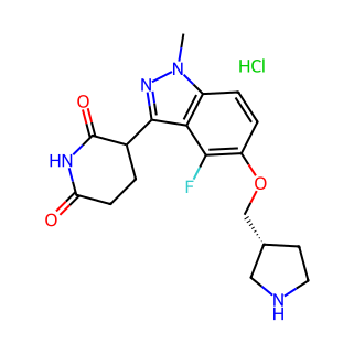 Cl.Cn1nc(C2CCC(=O)NC2=O)c2c(F)c(OC[C@@H]3CCNC3)ccc21